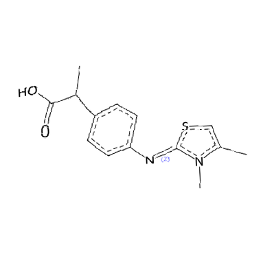 Cc1cs/c(=N\c2ccc(C(C)C(=O)O)cc2)n1C